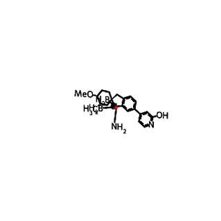 BC1(B)OC(N)=NC12c1cc(-c3ccnc(O)c3)ccc1C[C@@]21CC[C@H](OC)[C@@H](C)C1